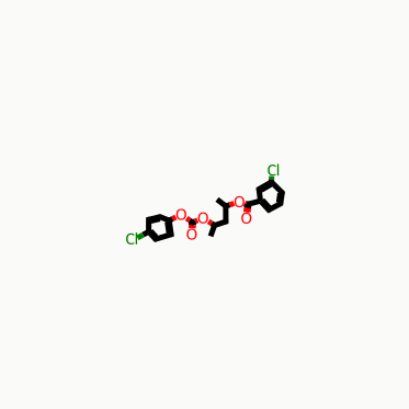 CC(CC(C)OC(=O)c1cccc(Cl)c1)OC(=O)Oc1ccc(Cl)cc1